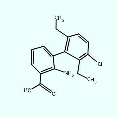 CCc1ccc(Cl)c(CC)c1-c1cccc(C(=O)O)c1N